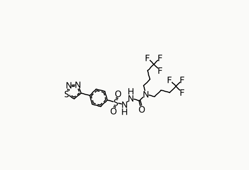 O=C(NNS(=O)(=O)c1ccc(-c2csnn2)cc1)N(CCCC(F)(F)F)CCCC(F)(F)F